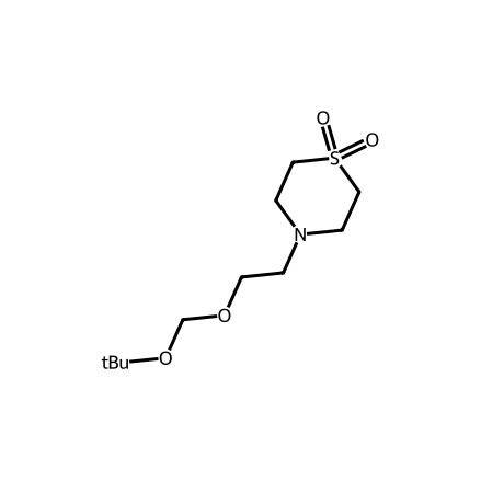 CC(C)(C)OCOCCN1CCS(=O)(=O)CC1